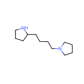 [CH](CCCN1CCCC1)C1CCCN1